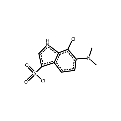 CN(C)c1ccc2c(S(=O)(=O)Cl)c[nH]c2c1Cl